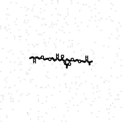 CCNCCOCCOCCNCC(=O)N(CCOCCOCCNC(C)C)CC(C)=O